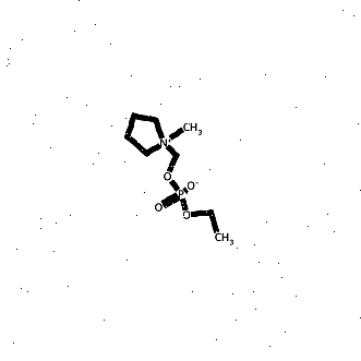 CCOP(=O)([O-])OC[N+]1(C)CCCC1